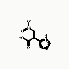 O=C(O)C(C[N+](=O)[O-])c1ccc[nH]1